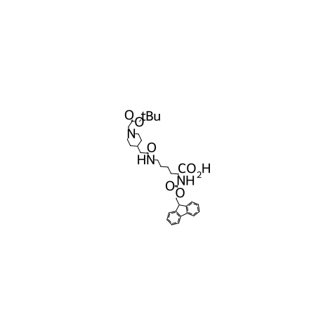 CC(C)(C)OC(=O)CN1CCC(CC(=O)NCCCCC(NC(=O)OCC2c3ccccc3-c3ccccc32)C(=O)O)CC1